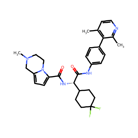 Cc1ccnc(C)c1-c1ccc(NC(=O)[C@@H](NC(=O)c2ccc3n2CCN(C)C3)C2CCC(F)(F)CC2)cc1